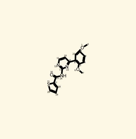 COc1ccc(OC)c(-c2ccnc(NC(=O)c3cccs3)n2)c1